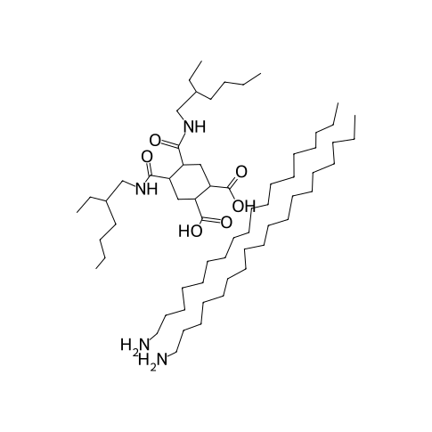 CCCCC(CC)CNC(=O)C1CC(C(=O)O)C(C(=O)O)CC1C(=O)NCC(CC)CCCC.CCCCCCCCCCCCCCCCCCN.CCCCCCCCCCCCCCCCCCN